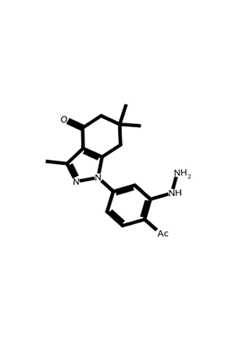 CC(=O)c1ccc(-n2nc(C)c3c2CC(C)(C)CC3=O)cc1NN